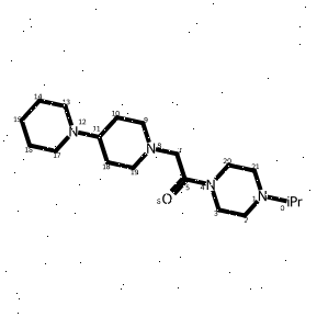 CC(C)N1CCN(C(=O)CN2CCC(N3CCCCC3)CC2)CC1